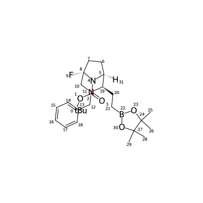 CC(C)(C)OC(=O)N1[C@H]2CC[C@]1(F)CN(Cc1ccccc1)[C@@H]2CCB1OC(C)(C)C(C)(C)O1